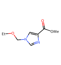 CCOCn1cnc(C(=O)OC)c1